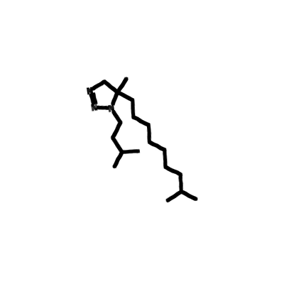 CC(C)CCCCCCCC1(C)CN=NN1CCC(C)C